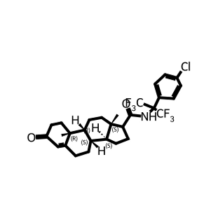 C[C@]12CCC(=O)C=C1CC[C@@H]1[C@H]2CC[C@]2(C)C(C(=O)NC(c3ccc(Cl)cc3)(C(F)(F)F)C(F)(F)F)CC[C@@H]12